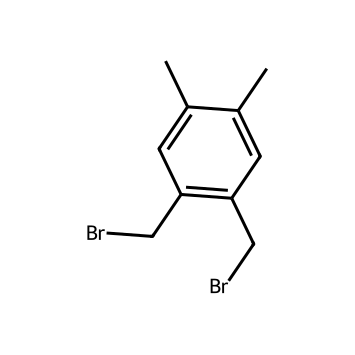 Cc1cc(CBr)c(CBr)cc1C